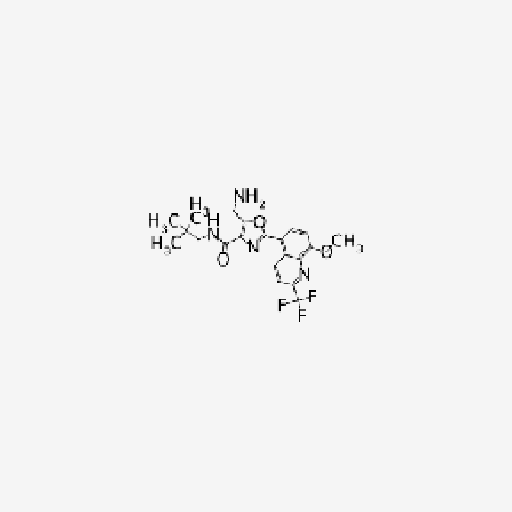 COc1ccc(-c2nc(C(=O)NCC(C)(C)C)c(CN)o2)c2ccc(C(F)(F)F)nc12